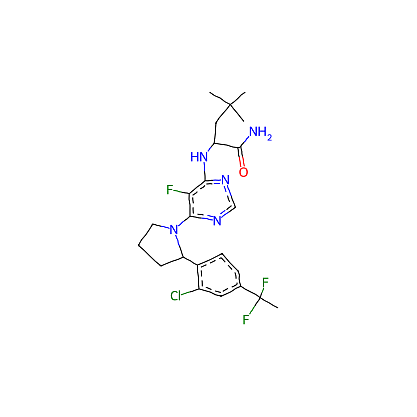 CC(C)(C)CC(Nc1ncnc(N2CCCC2c2ccc(C(C)(F)F)cc2Cl)c1F)C(N)=O